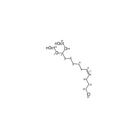 CCCCCCCCOC(CCCCC/C=C\CCCCl)OCCCCCCCC